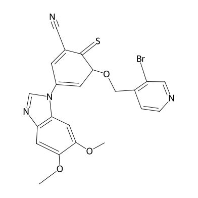 COc1cc2ncn(C3=CC(OCc4ccncc4Br)C(=S)C(C#N)=C3)c2cc1OC